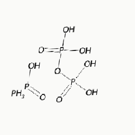 O=P(O)(O)OP(=O)(O)O.O=PO.P